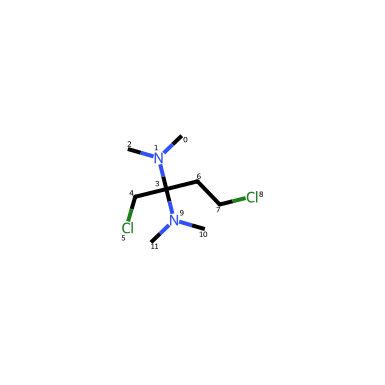 CN(C)C(CCl)(CCCl)N(C)C